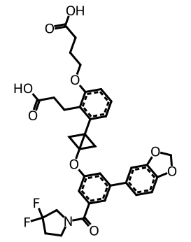 O=C(O)CCCOc1cccc(C23CC2(Oc2cc(C(=O)N4CCC(F)(F)C4)cc(-c4ccc5c(c4)OCO5)c2)C3)c1CCC(=O)O